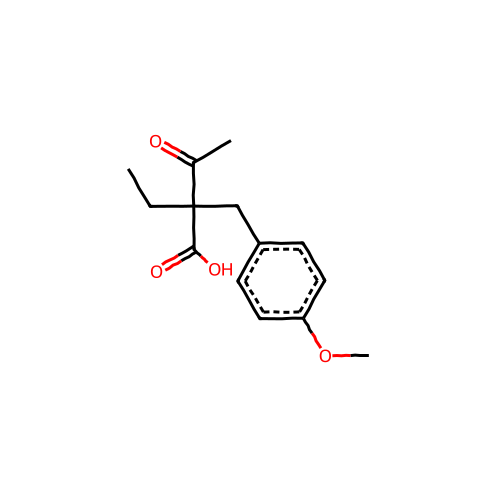 CCC(Cc1ccc(OC)cc1)(C(C)=O)C(=O)O